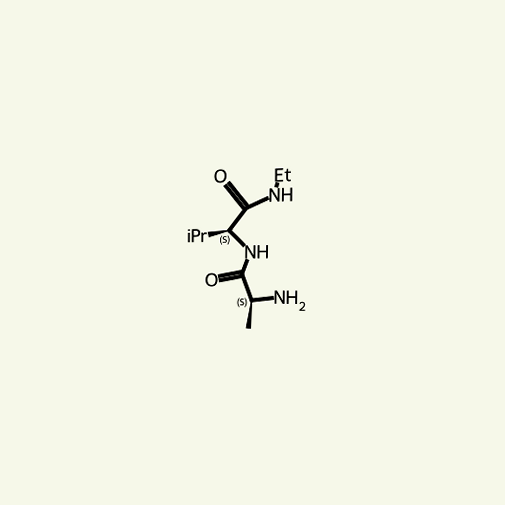 CCNC(=O)[C@@H](NC(=O)[C@H](C)N)C(C)C